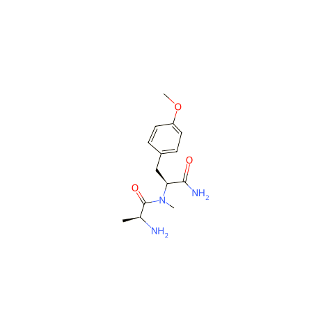 COc1ccc(C[C@@H](C(N)=O)N(C)C(=O)[C@H](C)N)cc1